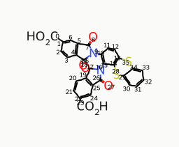 O=C(O)c1ccc2c(c1)C(=O)N(c1ccc3c(c1N1C(=O)c4ccc(C(=O)O)cc4C1=O)Sc1ccccc1S3)C2=O